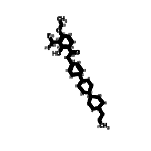 CCCC1CCC(C2CCC(c3ccc(CC(=O)c4ccc(OCC)c(C(F)F)c4O)cc3)CC2)CC1